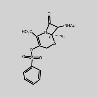 CC(=O)NC1C(=O)N2C(C(=O)O)=C(OS(=O)(=O)c3ccccc3)CS[C@H]12